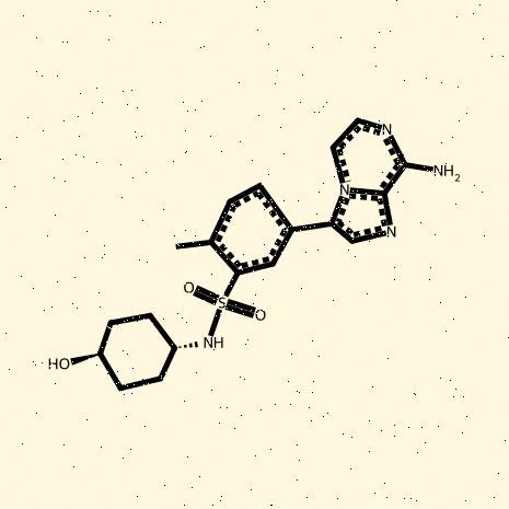 Cc1ccc(-c2cnc3c(N)nccn23)cc1S(=O)(=O)N[C@H]1CC[C@H](O)CC1